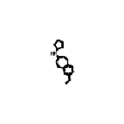 CCc1ccc2c(c1)CCC(NC1CCCC1)CC2